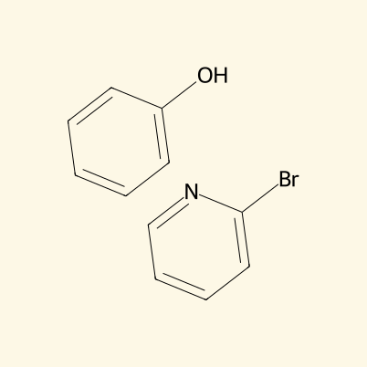 Brc1ccccn1.Oc1ccccc1